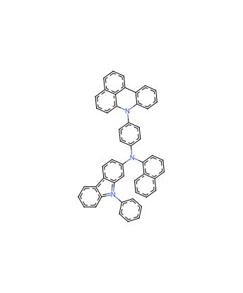 c1ccc(-n2c3ccccc3c3ccc(N(c4ccc(N5c6ccccc6-c6cccc7cccc5c67)cc4)c4cccc5ccccc45)cc32)cc1